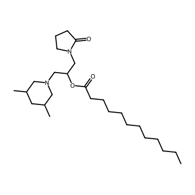 CCCCCCCCCCCC(=O)OC(CN1CC(C)CC(C)C1)CN1CCCC1=O